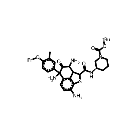 Cc1cc(C2(N)C(=O)C(N)C3c4c2ccc(N)c4SC3C(=O)N[C@@H]2CCCN(C(=O)OC(C)(C)C)C2)ccc1OC(C)C